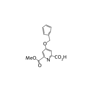 COC(=O)c1cc(OCc2ccccc2)cc(C(=O)O)n1